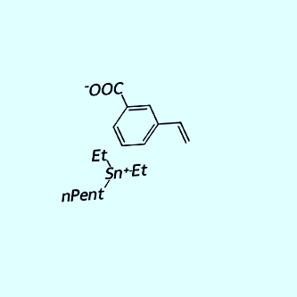 C=Cc1cccc(C(=O)[O-])c1.CCCC[CH2][Sn+]([CH2]C)[CH2]C